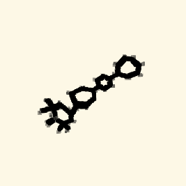 CN1C(C)(C)CC(C2=CCC(c3ccc(C4C=CC=CC=C4)cc3)CC2)CC1(C)C